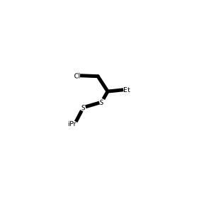 CCC(CCl)SSC(C)C